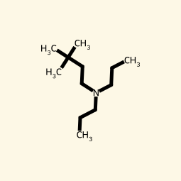 CCCN(CCC)CCC(C)(C)C